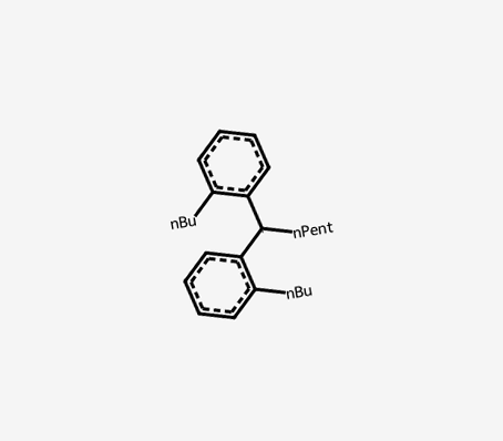 CCCCC[C](c1ccccc1CCCC)c1ccccc1CCCC